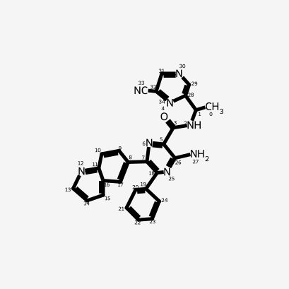 CC(NC(=O)c1nc(-c2ccc3ncccc3c2)c(-c2ccccc2)nc1N)c1cncc(C#N)n1